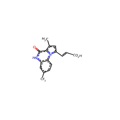 Cc1cc(C=CC(=O)O)n2c1c(=O)[nH]c1cc(C(F)(F)F)ccc12